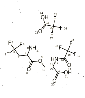 NC(CC(F)(F)F)C(=O)OC[C@H](NC(=O)C(F)(F)F)C(=O)O.O=C(O)C(F)(F)F